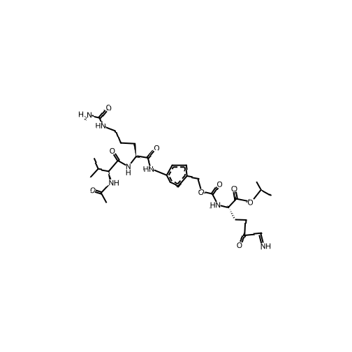 CC(=O)N[C@H](C(=O)N[C@@H](CCCNC(N)=O)C(=O)Nc1ccc(COC(=O)N[C@@H](CCC(=O)C=N)C(=O)OC(C)C)cc1)C(C)C